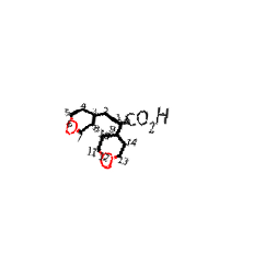 O=C(O)/C(=C/C1CCOCC1)C1CCOCC1